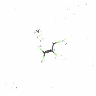 FCC(F)=C(F)F.[Al+3].[F-].[F-].[F-]